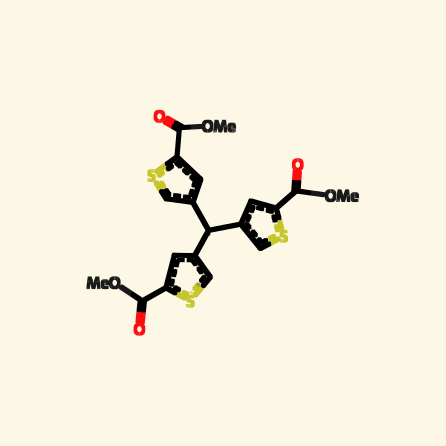 COC(=O)c1cc([C](c2csc(C(=O)OC)c2)c2csc(C(=O)OC)c2)cs1